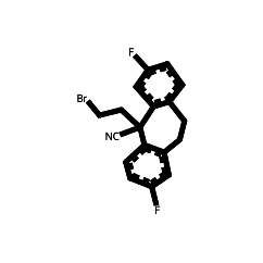 N#CC1(CCBr)c2ccc(F)cc2CCc2ccc(F)cc21